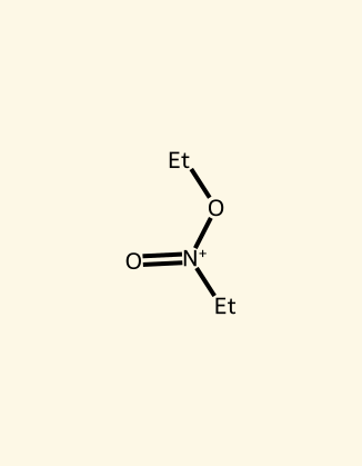 CCO[N+](=O)CC